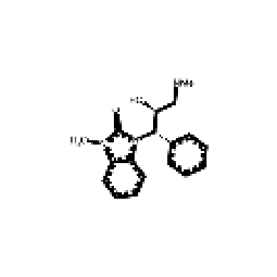 CNC[C@H](O)[C@H](c1ccccc1)n1c(=O)n(C)c2ccccc21